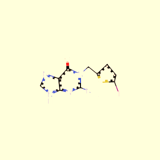 Nc1nc2[nH]cnc2c(=O)n1Cc1ccc(I)s1